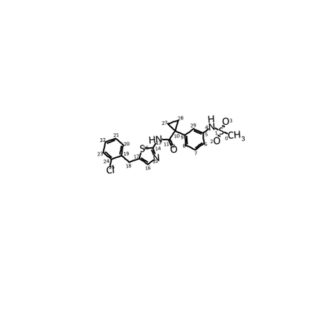 CS(=O)(=O)Nc1cccc(C2(C(=O)Nc3ncc(Cc4ccccc4Cl)s3)CC2)c1